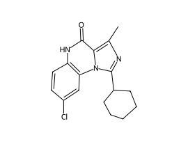 Cc1nc(C2CCCCC2)n2c1c(=O)[nH]c1ccc(Cl)cc12